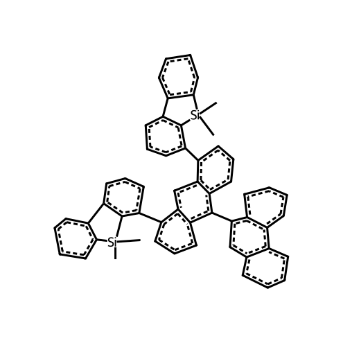 C[Si]1(C)c2ccccc2-c2cccc(-c3cccc4c(-c5cc6ccccc6c6ccccc56)c5cccc(-c6cccc7c6[Si](C)(C)c6ccccc6-7)c5cc34)c21